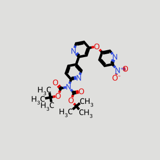 CC(C)(C)OC(=O)N(C(=O)OC(C)(C)C)c1ccc(-c2cc(Oc3ccc([N+](=O)[O-])nc3)ccn2)cn1